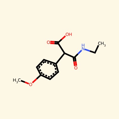 CCNC(=O)C(C(=O)O)c1ccc(OC)cc1